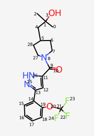 CC(C)(O)CC1CCN(C(=O)c2cc(-c3ccccc3OC(F)(F)F)n[nH]2)CC1